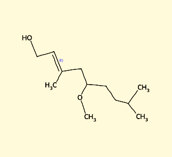 COC(CCC(C)C)C/C(C)=C/CO